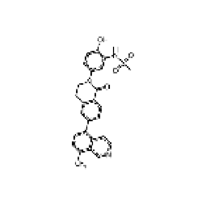 CS(=O)(=O)Nc1cc(N2CCc3cc(-c4ccc(C(F)(F)F)c5cnccc45)ccc3C2=O)ccc1O